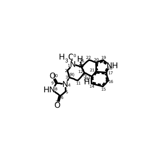 CN1C[C@H](N2CC(=O)NC2=O)C[C@@H]2c3cccc4[nH]cc(c34)C[C@H]21